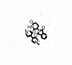 C[n+]1ccc(-c2cc[n+](C)cc2)cc1.O=C1CCC(N2C(=O)c3ccccc3C2=O)C(=O)N1